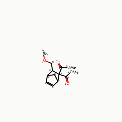 COC(=O)C1(C(=O)OC)C2C=CC(C2)C1COC(C)(C)C